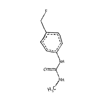 CNC(=O)Nc1ccc(CF)cc1